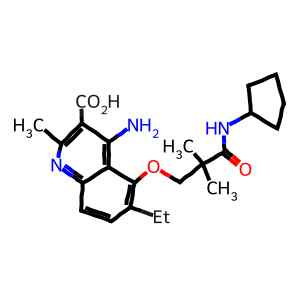 CCc1ccc2nc(C)c(C(=O)O)c(N)c2c1OCC(C)(C)C(=O)NC1CCCC1